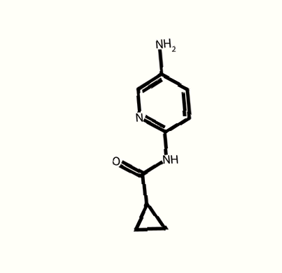 Nc1ccc(NC(=O)C2CC2)nc1